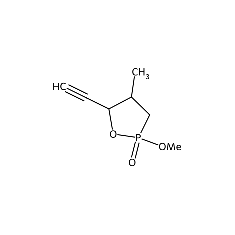 C#CC1OP(=O)(OC)CC1C